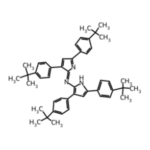 CC(C)(C)c1ccc(C2=CC(c3ccc(C(C)(C)C)cc3)=N/C2=N\c2[nH]c(-c3ccc(C(C)(C)C)cc3)cc2-c2ccc(C(C)(C)C)cc2)cc1